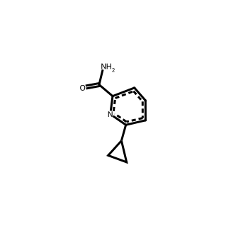 NC(=O)c1cccc(C2CC2)n1